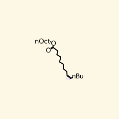 CCCC/C=C\CCCCCCCC(=O)OCCCCCCCC